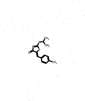 Cc1ccc(/C=C2\SC(SC(C)C)=NC2=O)cc1